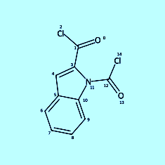 O=C(Cl)c1cc2ccccc2n1C(=O)Cl